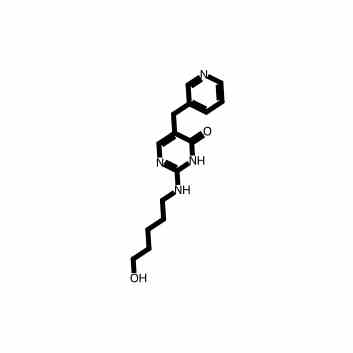 O=c1[nH]c(NCCCCCO)ncc1Cc1cccnc1